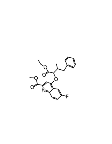 CCOC(=O)C(Oc1cc(C(=O)OC)nc2ccc(F)cc12)C(C)Cc1ccccc1